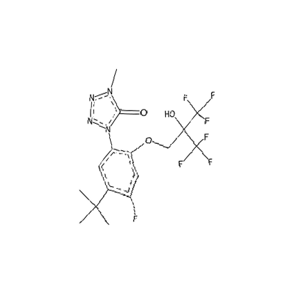 Cn1nnn(-c2cc(C(C)(C)C)c(F)cc2OCC(O)(C(F)(F)F)C(F)(F)F)c1=O